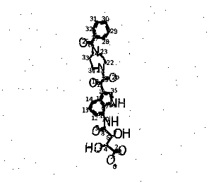 COC(=O)C(O)C(O)C(=O)Nc1cccc2c(C(=O)C(=O)N3CCN(C(=O)c4ccccc4)CC3)c[nH]c12